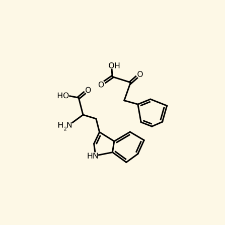 NC(Cc1c[nH]c2ccccc12)C(=O)O.O=C(O)C(=O)Cc1ccccc1